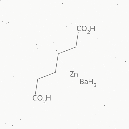 O=C(O)CCCCC(=O)O.[BaH2].[Zn]